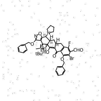 CC(C)(C)[Si](C)(C)O[C@@]12C(=O)c3c(OCc4ccccc4)noc3[C@@H](N3CCCC3)[C@@H]1C[C@@H]1Cc3c(F)c(C=O)c(Br)c(OCc4ccccc4)c3C(=O)C1=C2O